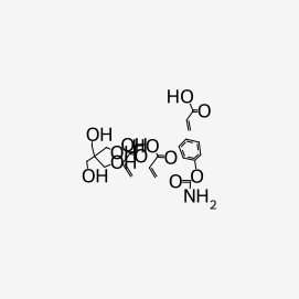 C=CC(=O)O.C=CC(=O)O.C=CC(=O)O.NC(=O)Oc1ccccc1.OCC(CO)(CO)CO